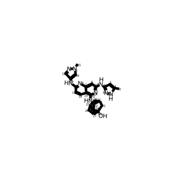 Cc1cc(Nc2cc3nc(Nc4cnn(C)c4)ccc3c(NC3C4CC5CC3C(O)(C5)C4)n2)n[nH]1